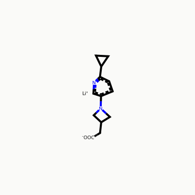 O=C([O-])CC1CN(c2ccc(C3CC3)nc2)C1.[Li+]